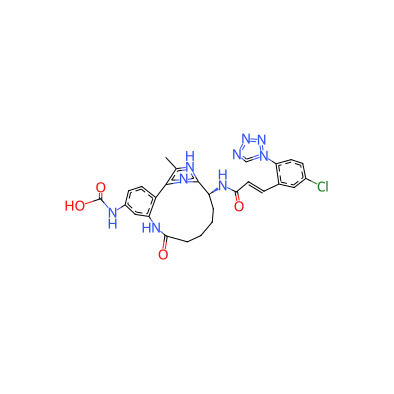 Cc1[nH]c2nc1-c1ccc(NC(=O)O)cc1NC(=O)CCCC[C@@H]2NC(=O)/C=C/c1cc(Cl)ccc1-n1cnnn1